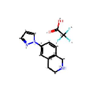 O=C(O)C(F)(F)F.c1cnn(-c2ccc3c(c2)CCNC3)c1